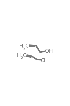 C=CCCl.C=CCO